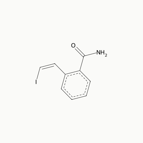 NC(=O)c1ccccc1/C=C\I